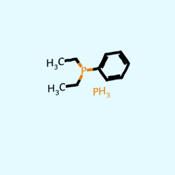 CCP(CC)c1ccccc1.P